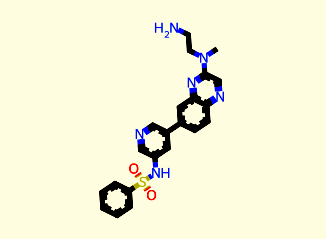 CN(CCN)c1cnc2ccc(-c3cncc(NS(=O)(=O)c4ccccc4)c3)cc2n1